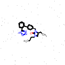 CCCCn1cc(CC)n(Cc2ccc(-c3ccccc3-c3nnn[nH]3)cc2)c1=O